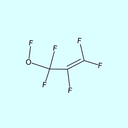 FOC(F)(F)C(F)=C(F)F